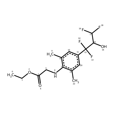 CCOC(=O)CNc1c(C)cc(C(F)(F)C(O)C(F)F)cc1C